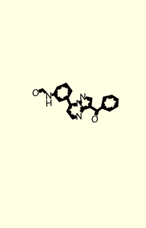 O=CNc1cccc(-c2ccnc3c(C(=O)c4ccccc4)cnn23)c1